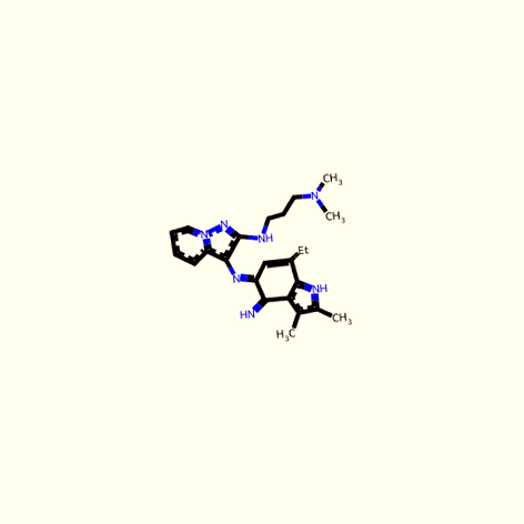 CCC1=C/C(=N\c2c(NCCCN(C)C)nn3ccccc23)C(=N)c2c1[nH]c(C)c2C